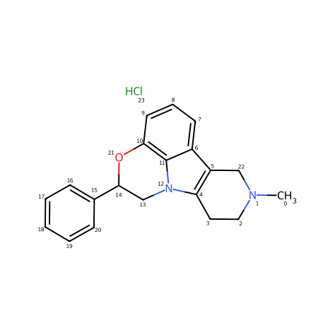 CN1CCc2c(c3cccc4c3n2CC(c2ccccc2)O4)C1.Cl